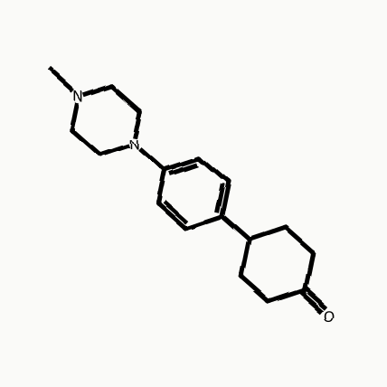 CN1CCN(c2ccc(C3CCC(=O)CC3)cc2)CC1